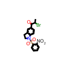 CC(Br)C(=O)c1ccc2c(c1)CCN2S(=O)(=O)c1ccccc1[N+](=O)[O-]